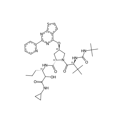 CCC[C@H](NC(=O)[C@@H]1C[C@@H](Oc2nc(-c3ccccn3)nc3sccc23)CN1C(=O)[C@@H](NC(=O)NC(C)(C)C)C(C)(C)C)C(O)C(=O)NC1CC1